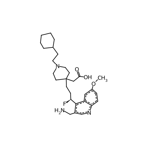 COc1ccc2ncc(CN)c([C@@H](F)CCC3(CC(=O)O)CCN(CCC4CCCCC4)CC3)c2c1